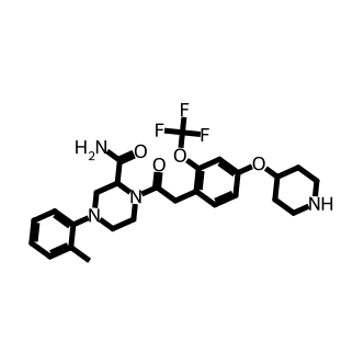 Cc1ccccc1N1CCN(C(=O)Cc2ccc(OC3CCNCC3)cc2OC(F)(F)F)C(C(N)=O)C1